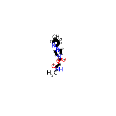 CNC(=O)COC(=O)N1CCN(c2ccc(C)cn2)CC1